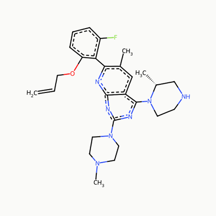 C=CCOc1cccc(F)c1-c1nc2nc(N3CCN(C)CC3)nc(N3CCNC[C@H]3C)c2cc1C